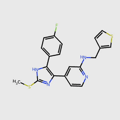 CSc1nc(-c2ccnc(NCc3ccsc3)c2)c(-c2ccc(F)cc2)[nH]1